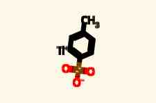 Cc1ccc(S(=O)(=O)[O-])cc1.[Tl+]